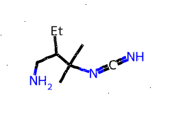 CCC(CN)C(C)(C)N=C=N